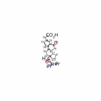 CC(C)N(C(=O)[C@H]1CCC2C3CC(=O)c4cc(CC(=O)O)ccc4C3CC[C@@]21C)C(C)C